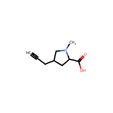 C#CCC1CC(C(=O)O)N(C)C1